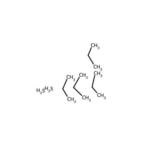 CCC.CCC.CCC.CCC.S.S